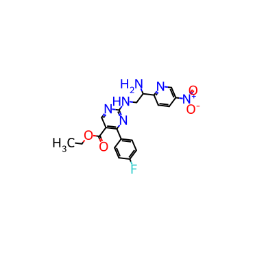 CCOC(=O)c1cnc(NCC(N)c2ccc([N+](=O)[O-])cn2)nc1-c1ccc(F)cc1